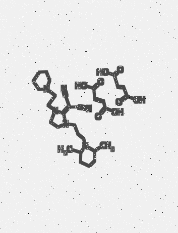 CC1CCCC(C)N1CCCN1CCN(CCN2CCCCC2)C1=C(C#N)C#N.O=C(O)C=CC(=O)O.O=C(O)C=CC(=O)O